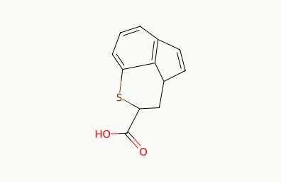 O=C(O)C1CC2C=Cc3cccc(c32)S1